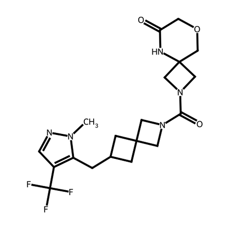 Cn1ncc(C(F)(F)F)c1CC1CC2(C1)CN(C(=O)N1CC3(COCC(=O)N3)C1)C2